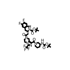 CC(C)(C)OC(=O)N[C@@H]1CCCN(C(=O)c2nc(C(F)(F)F)n3c2CN(C(=O)C[C@@H](Cc2cc(F)c(F)cc2F)NC(=O)OC(C)(C)C)CC3)C1